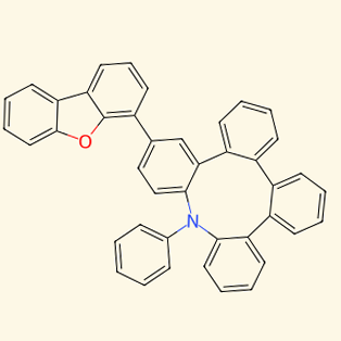 c1ccc(-n2c3ccccc3c3ccccc3c3ccccc3c3cc(-c4cccc5c4oc4ccccc45)ccc32)cc1